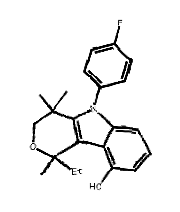 CCC1(C)OCC(C)(C)c2c1c1c(O)cccc1n2-c1ccc(F)cc1